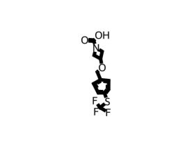 O=C(O)N1CC(OCc2ccc(SC(F)(F)F)cc2)C1